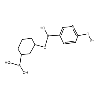 CCOc1ccc(B(O)OC2CCCC(B(O)O)C2)cn1